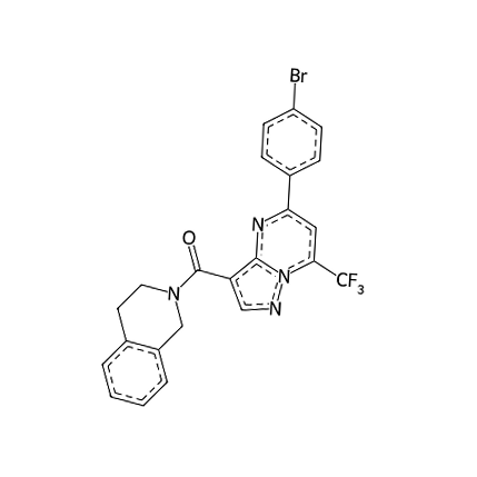 O=C(c1cnn2c(C(F)(F)F)cc(-c3ccc(Br)cc3)nc12)N1CCc2ccccc2C1